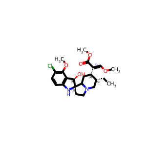 CC[C@@H]1CN2CC[C@]3(Nc4ccc(Cl)c(OC)c4[C@H]3O)C2C[C@@H]1/C(=C\OC)C(=O)OC